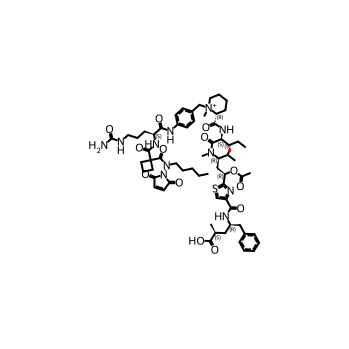 CCCCCN(C(=O)C1(C(=O)N[C@@H](CCCNC(N)=O)C(=O)Nc2ccc(C[N+]3(C)CCCC[C@@H]3C(=O)N[C@H](C(=O)N(C)[C@H](C[C@@H](OC(C)=O)c3nc(C(=O)N[C@@H](Cc4ccccc4)C[C@H](C)C(=O)O)cs3)C(C)C)[C@@H](C)CC)cc2)CCC1)N1C(=O)C=CC1=O